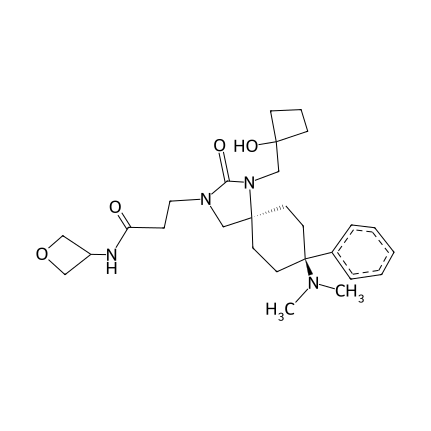 CN(C)[C@]1(c2ccccc2)CC[C@]2(CC1)CN(CCC(=O)NC1COC1)C(=O)N2CC1(O)CCC1